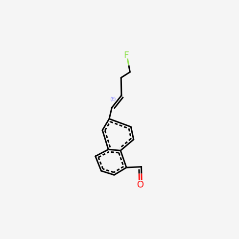 O=Cc1cccc2cc(/C=C/CCF)ccc12